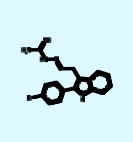 N=C(N)NN=CCc1c(-c2ccc(Br)cc2)[nH]c2ccccc12